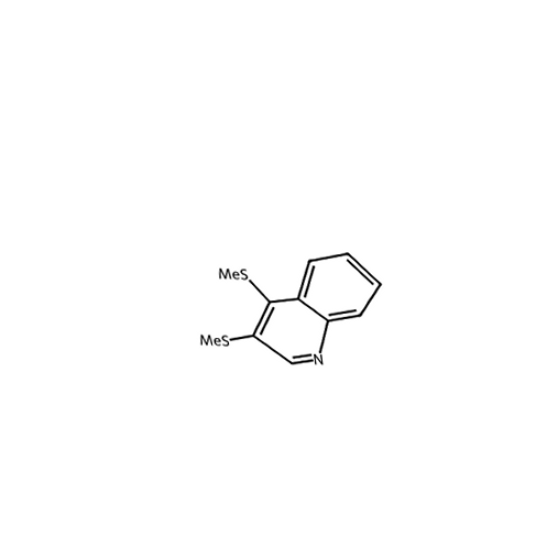 CSc1cnc2ccccc2c1SC